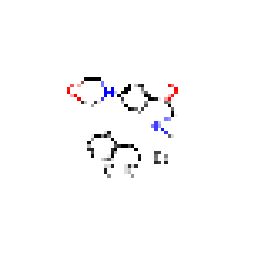 CC(C(=O)c1ccc(N2CCOCC2)cc1)N(C)C.CCC(C=O)Cc1ccccc1